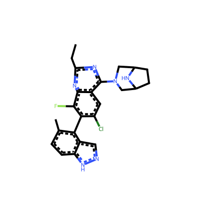 CCc1nc(N2CC3CCC(C2)N3)c2cc(Cl)c(-c3c(C)ccc4[nH]ncc34)c(F)c2n1